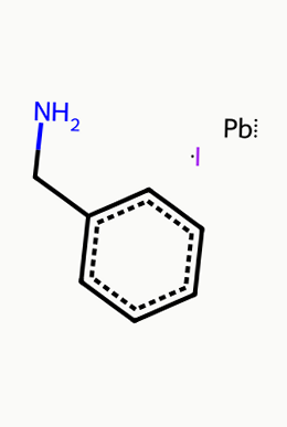 NCc1ccccc1.[I].[Pb]